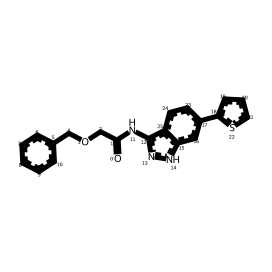 O=C(COCc1ccccc1)Nc1n[nH]c2cc(-c3cccs3)ccc12